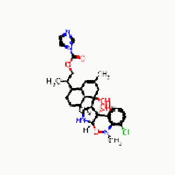 CC1=CC2C(C(C)COC(=O)n3ccnc3)CCC(C)C2C(O)(C2CN[C@@H]3ON(C)c4c(Cl)cccc4[C@]23O)C1